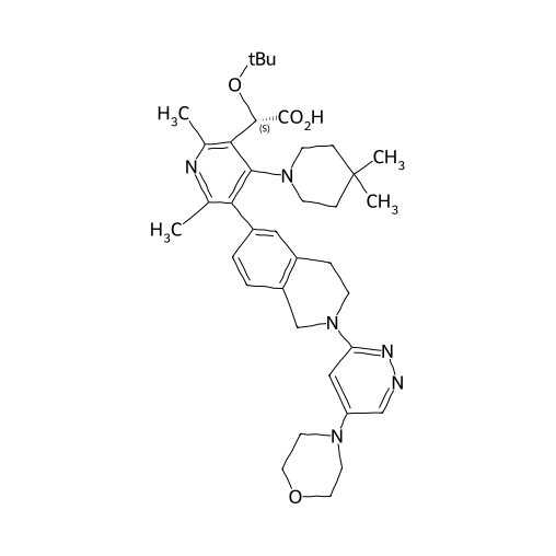 Cc1nc(C)c([C@H](OC(C)(C)C)C(=O)O)c(N2CCC(C)(C)CC2)c1-c1ccc2c(c1)CCN(c1cc(N3CCOCC3)cnn1)C2